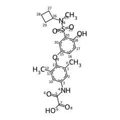 Cc1cc(NC(=O)C(=O)O)cc(C)c1Oc1ccc(O)c(S(=O)(=O)N(C)C2CCC2)c1